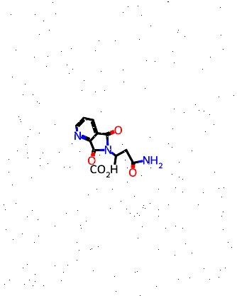 NC(=O)CC(C(=O)O)N1C(=O)c2cccnc2C1=O